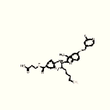 CCCCCC(C)C(Nc1ccc(C(=O)NCCC(=O)O)cc1)c1oc2ccc(OCc3ccnc(F)c3)cc2c1C